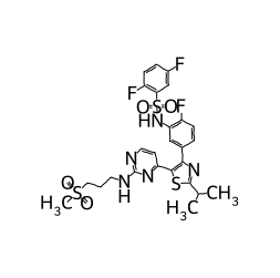 CC(C)c1nc(-c2ccc(F)c(NS(=O)(=O)c3cc(F)ccc3F)c2)c(-c2ccnc(NCCCS(C)(=O)=O)n2)s1